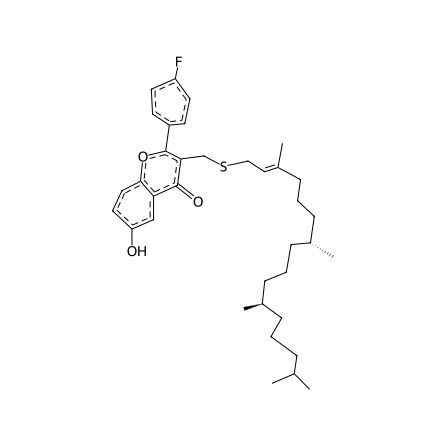 C/C(=C\CSCc1c(-c2ccc(F)cc2)oc2ccc(O)cc2c1=O)CCC[C@H](C)CCC[C@H](C)CCCC(C)C